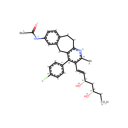 CNC(=O)Nc1ccc2c(c1)Cc1c(nc(C(C)C)c(/C=C/[C@@H](O)C[C@@H](O)CC(=O)O)c1-c1ccc(F)cc1)CC2